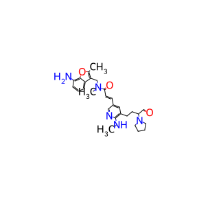 CNc1ncc(/C=C/C(=O)N(C)Cc2c(C)oc3c(N)cccc23)cc1CCC(C=O)N1CCCC1